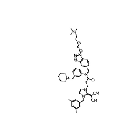 Cc1cc(C)cc(CN2CCN(CCC(=O)N(Cc3ccc4c(c3)nnn4OCOCC[Si](C)(C)C)c3cccc(CN4CCCCC4)c3)C2=C(C#N)C#N)c1